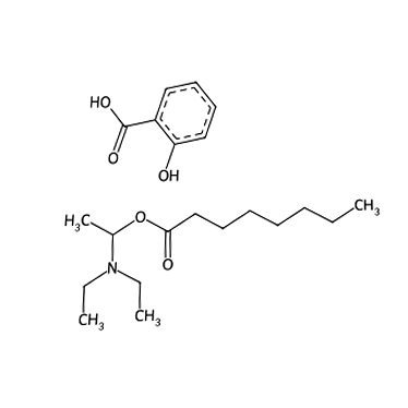 CCCCCCCC(=O)OC(C)N(CC)CC.O=C(O)c1ccccc1O